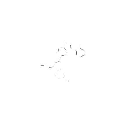 C=N/C=C(\N=C(/C)c1cc2c(-c3ccccc3F)n[nH]c2cn1)N1CCC(N)CC1